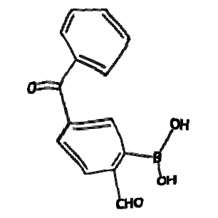 O=Cc1ccc(C(=O)c2ccccc2)cc1B(O)O